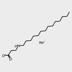 CCCCCCCCCCCCCCNCCC(=O)[O-].[Na+]